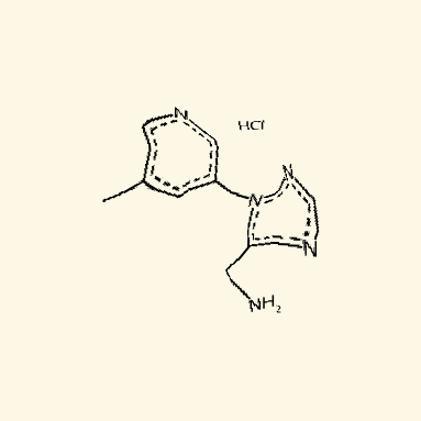 Cc1cncc(-n2ncnc2CN)c1.Cl